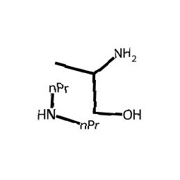 CC(N)CO.CCCNCCC